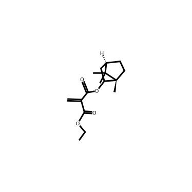 C=C(C(=O)OCC)C(=O)OC1C[C@H]2CC[C@@]1(C)C2(C)C